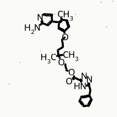 Cc1ccc(OCCCC(C)(C)OCCOC(=O)c2nnc(Cc3ccccc3)[nH]2)cc1-c1ccnc(N)c1